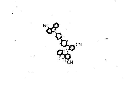 Cc1ccccc1-c1cc(C#N)ccc1Nc1ccc(C#N)cc1C1=CC=CC(C2=CCC(n3c4ccccc4c4c(C#N)cccc43)C=C2)=CC1